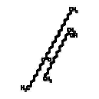 CCCCCCCCC=CCCCCCCCC(=O)OCCCCCCCCCC.CCCCCCCCCCCCCCCCC(C)O